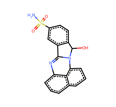 NS(=O)(=O)c1ccc2c(c1)C1=Nc3cccc4cccc(c34)N1C2O